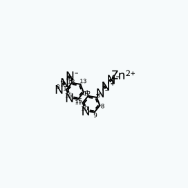 [N-]=[N+]=[N-].[N-]=[N+]=[N-].[Zn+2].c1ccncc1.c1ccncc1